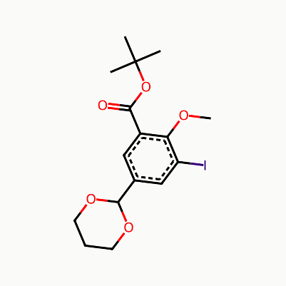 COc1c(I)cc(C2OCCCO2)cc1C(=O)OC(C)(C)C